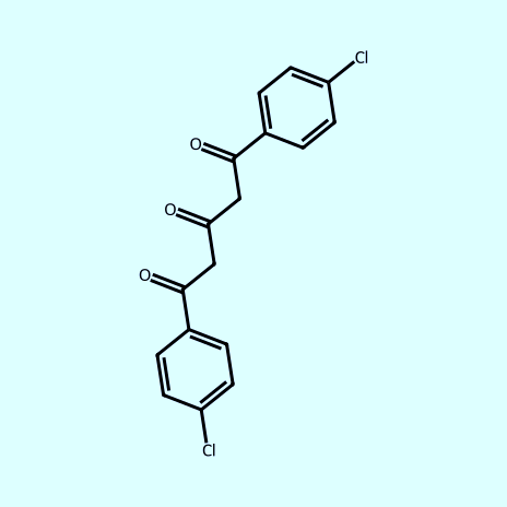 O=C(CC(=O)c1ccc(Cl)cc1)CC(=O)c1ccc(Cl)cc1